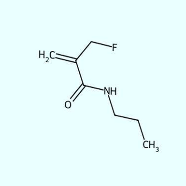 C=C(CF)C(=O)NCCC